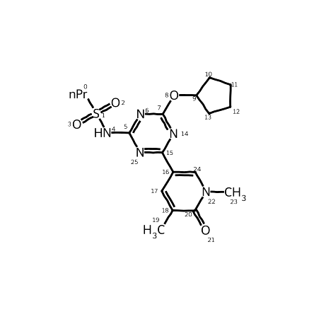 CCCS(=O)(=O)Nc1nc(OC2CCCC2)nc(-c2cc(C)c(=O)n(C)c2)n1